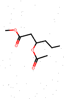 CCCC(CC(=O)OC)OC(C)=O